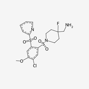 COc1cc(S(=O)(=O)c2ccccn2)c(S(=O)(=O)N2CCC(F)(CN)CC2)cc1Cl